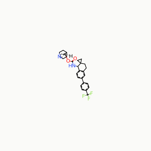 O=C(NC1c2ccc(-c3ccc(C(F)(F)F)cc3)cc2CCC12CC2)O[C@H]1CN2CCC1CC2